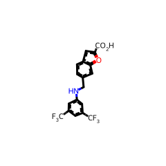 O=C(O)c1cc2ccc(CNc3cc(C(F)(F)F)cc(C(F)(F)F)c3)cc2o1